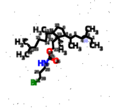 CC/C(C)=C/CC(C)C1CC[C@H]([C@H](C)CCCC(C)C)[C@@]1(C)CCOC(=O)NCCCBr